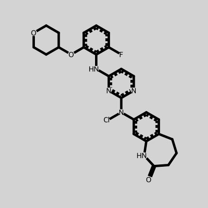 O=C1CCCc2ccc(N(Cl)c3nccc(Nc4c(F)cccc4OC4CCOCC4)n3)cc2N1